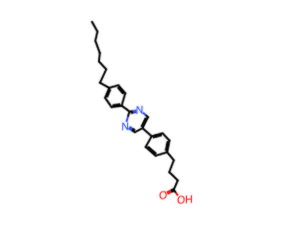 CCCCCCCc1ccc(-c2ncc(-c3ccc(CCCC(=O)O)cc3)cn2)cc1